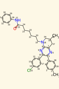 Cc1ccc(-c2nc3c(nc2-c2ccc(Cl)cc2)N(CCCCCCC(=O)Nc2ccccc2)CC(C)C3)cc1